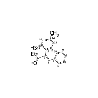 CCC(=O)C(=Cc1ccccc1)c1ccc(C)cc1S